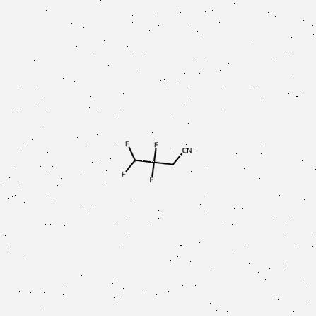 N#CCC(F)(F)[C](F)F